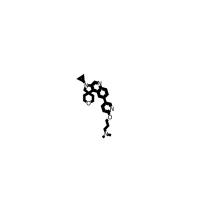 CN(C)CCCOc1ccc(-c2ccc3ncc4c(c3c2)C2(CCOCC2)CN4C2CC2)cn1